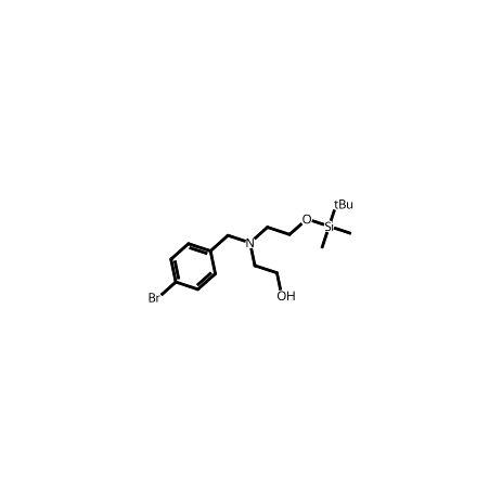 CC(C)(C)[Si](C)(C)OCCN(CCO)Cc1ccc(Br)cc1